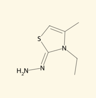 CCn1c(C)csc1=NN